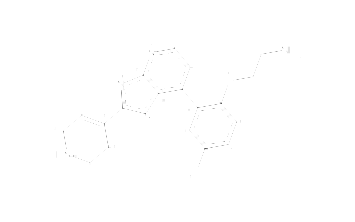 NCCOc1ccc(F)cc1-c1ccnc2[nH]c(C3=CCNCC3)cc12